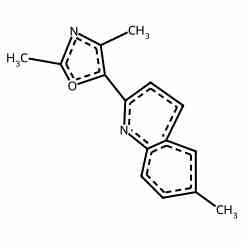 Cc1ccc2nc(-c3oc(C)nc3C)ccc2c1